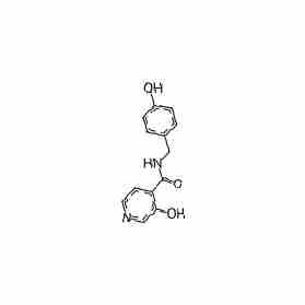 O=C(NCc1ccc(O)cc1)c1ccncc1O